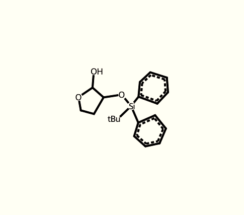 CC(C)(C)[Si](OC1CCOC1O)(c1ccccc1)c1ccccc1